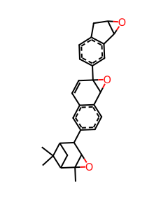 CC1(C)C2CC1C1(C)OC1C2c1ccc2c(c1)C=CC1(c3ccc4c(c3)C3OC3C4)OC21